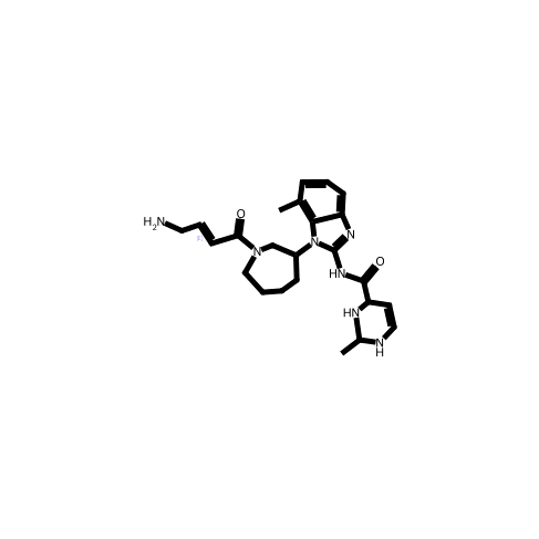 Cc1cccc2nc(NC(=O)C3C=CNC(C)N3)n(C3CCCCN(C(=O)/C=C/CN)C3)c12